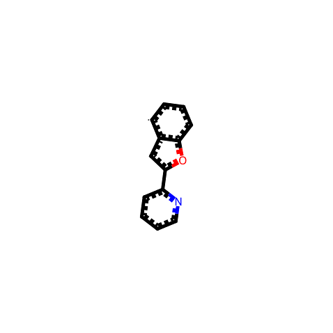 [c]1cccc2oc(-c3ccccn3)cc12